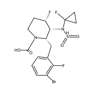 O=C(O)N1CC[C@H](F)[C@H](N([SH](=O)=O)C2(F)CC2)[C@@H]1Cc1cccc(Br)c1F